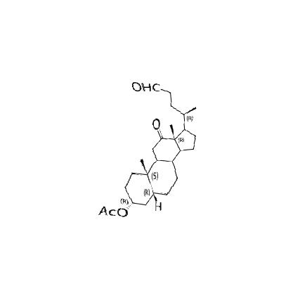 CC(=O)O[C@@H]1CC[C@]2(C)C3CC(=O)[C@@]4(C)C(CCC4[C@H](C)CCC=O)C3CC[C@@H]2C1